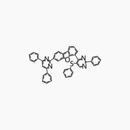 c1ccc(Sc2cnc(-c3ccccc3)nc2-c2cccc3c2oc2cc(-c4nc(-c5ccccc5)cc(-c5ccccc5)n4)ccc23)cc1